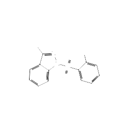 O=S(=O)(c1ccccc1C(F)(F)F)n1nc(Br)c2ccccc21